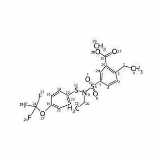 CCc1ccc(S(=O)(=O)N(CC)Sc2ccc(OC(F)(F)F)cc2)cc1C(=O)OC